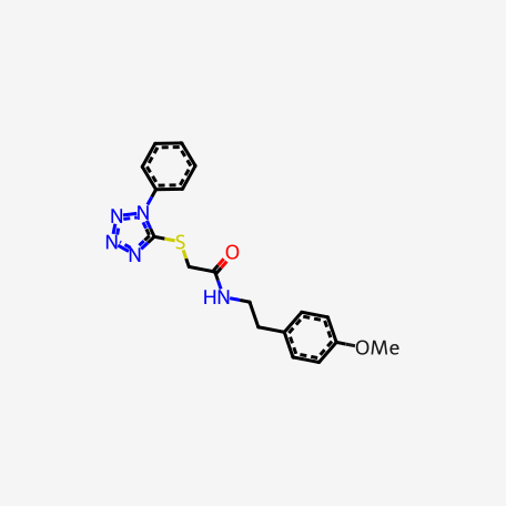 COc1ccc(CCNC(=O)CSc2nnnn2-c2ccccc2)cc1